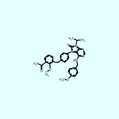 COc1ccc(CNc2ncnc3c2n(-c2ccc(Cc4cccc(C(N)=O)c4OC)cc2)c(=O)n3C(C)C)cc1